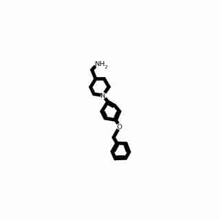 NC[C]1CCN(c2ccc(OCc3ccccc3)cc2)CC1